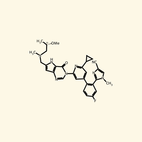 CO[C@@H](C)CN(C)Cc1cc2ncn(-c3cc(-c4ccc(F)cc4-c4nc(C#N)cn4C)cc(C4CC4)n3)c(=O)c2[nH]1